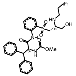 COC(=O)N[C@H](C(=O)Nc1ccccc1S(=O)(=O)C[C@@H](CO)NCCC(C)C)C(c1ccccc1)c1ccccc1